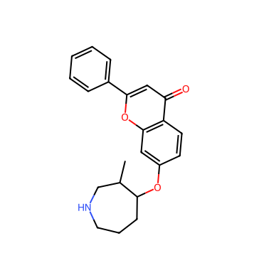 CC1CNCCCC1Oc1ccc2c(=O)cc(-c3ccccc3)oc2c1